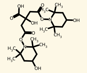 CC1(C)CC(O)CC(C)(C)N1OC(=O)CC(O)(CC(=O)ON1C(C)(C)CC(O)CC1(C)C)C(=O)O